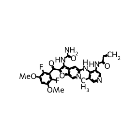 C=CC(=O)Nc1cncc(C)c1Nc1cc2c(NC(N)=O)c(C(=O)c3c(F)c(OC)cc(OC)c3F)oc2cn1